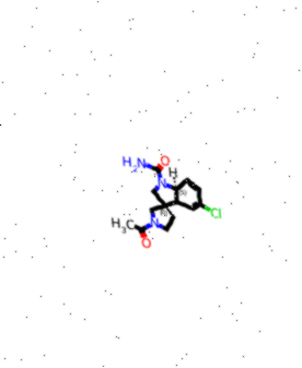 CC(=O)N1CC[C@@]2(C1)CN(C(N)=O)[C@H]1C=CC(Cl)=CC12